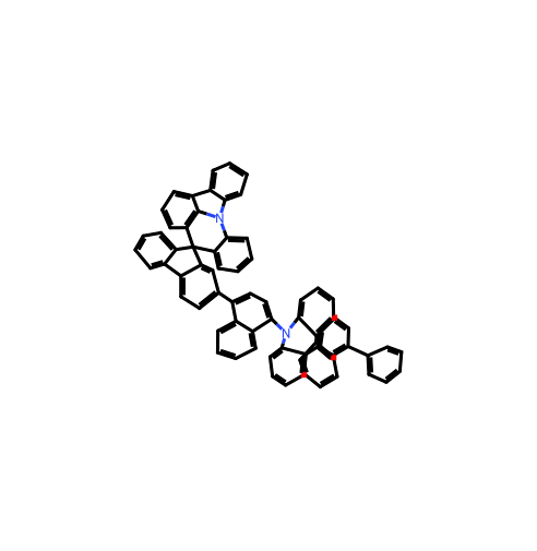 c1ccc(-c2cccc(-c3ccccc3N(c3ccccc3-c3ccccc3)c3ccc(-c4ccc5c(c4)C4(c6ccccc6-5)c5ccccc5-n5c6ccccc6c6cccc4c65)c4ccccc34)c2)cc1